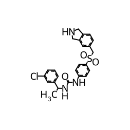 CC(NC(=O)Nc1ccc(S(=O)(=O)Cc2ccc3c(c2)CNC3)cc1)c1cccc(Cl)c1